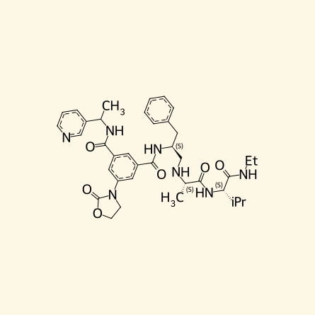 CCNC(=O)[C@@H](NC(=O)[C@H](C)NC[C@H](Cc1ccccc1)NC(=O)c1cc(C(=O)NC(C)c2cccnc2)cc(N2CCOC2=O)c1)C(C)C